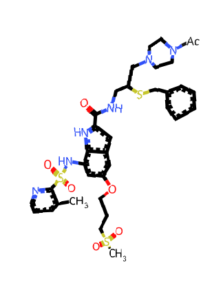 CC(=O)N1CCN(CC(CNC(=O)c2cc3cc(OCCCS(C)(=O)=O)cc(NS(=O)(=O)c4ncccc4C)c3[nH]2)SCc2ccccc2)CC1